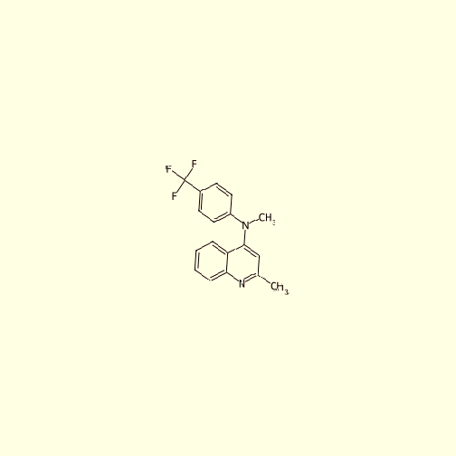 Cc1cc(N(C)c2ccc(C(F)(F)F)cc2)c2ccccc2n1